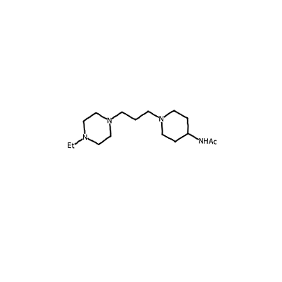 CCN1CCN(CCCN2CCC(NC(C)=O)CC2)CC1